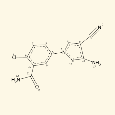 N#Cc1cn(-c2ccc(Cl)c(C(N)=O)c2)nc1N